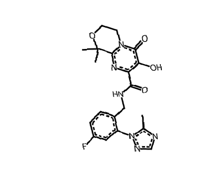 Cc1ncnn1-c1cc(F)ccc1CNC(=O)c1nc2n(c(=O)c1O)CCOC2(C)C